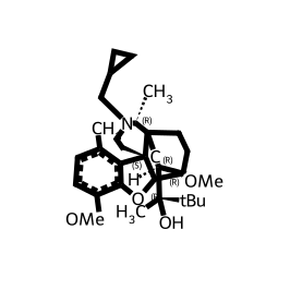 COc1ccc(C)c2c1OC1[C@@]3(OC)CCC4(C[C@@H]3[C@@](C)(O)C(C)(C)C)[C@@H](C)N(CC3CC3)CC[C@]214